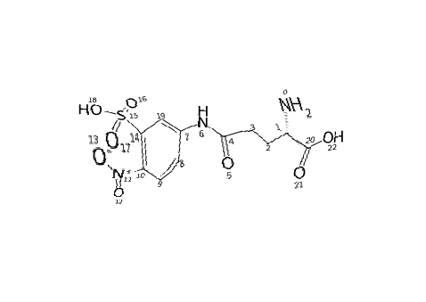 N[C@@H](CCC(=O)Nc1ccc([N+](=O)[O-])c(S(=O)(=O)O)c1)C(=O)O